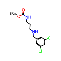 CC(C)(C)OC(=O)NCCCNCc1cc(Cl)cc(Cl)c1